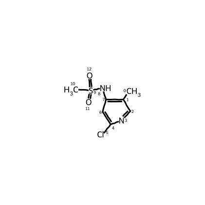 Cc1cnc(Cl)cc1NS(C)(=O)=O